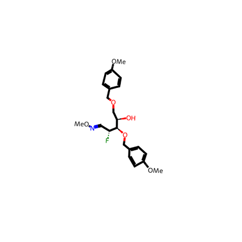 CO/N=C/[C@@H](F)[C@H](OCc1ccc(OC)cc1)[C@H](O)COCc1ccc(OC)cc1